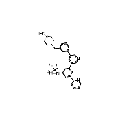 [2H]C([2H])([2H])Nc1cc(-c2cncc(-c3cccc(CN4CCN(C(C)C)CC4)c3)c2)cc(-c2ccccn2)n1